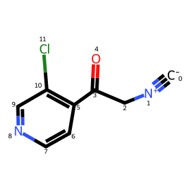 [C-]#[N+]CC(=O)c1ccncc1Cl